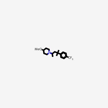 COC1CCN(C(C)CC(C)(C)c2ccc(C(F)(F)F)cc2)CC1